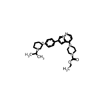 CCOC(=O)N1CCN(c2ccnn3cc(-c4ccc([C@H]5CCCN(C(C)C)C5)cc4)cc23)CC1